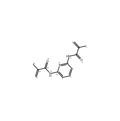 C=C(C)C(=O)Nc1cccc(NC(=O)C(=C)C)n1